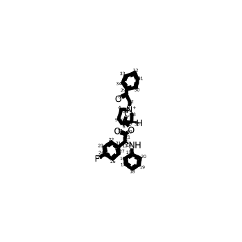 O=C(C[N+]12CCC(CC1)[C@@H](OC(=O)[C@H](Nc1ccccc1)c1ccc(F)cc1)C2)c1ccccc1